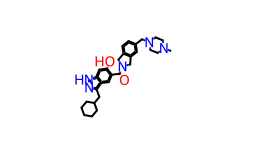 CN1CCN(Cc2ccc3c(c2)CN(C(=O)c2cc4c(CC5CCCCC5)n[nH]c4cc2O)C3)CC1